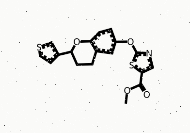 COC(=O)c1cnc(Oc2ccc3c(c2)CCC(c2ccsc2)O3)s1